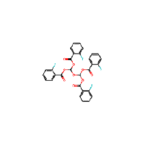 O=C(OC(OC(=O)c1ccccc1F)OC(OC(=O)c1ccccc1F)OC(=O)c1ccccc1F)c1ccccc1F